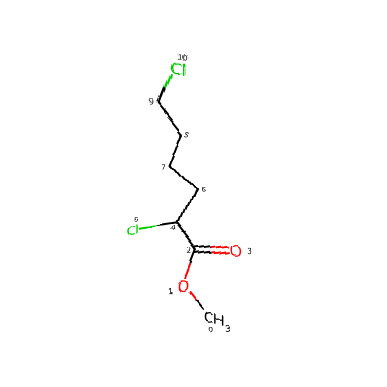 COC(=O)C(Cl)CCCCCl